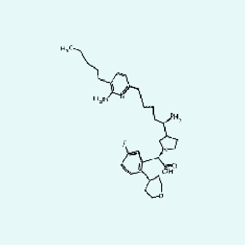 CCCCCc1ccc(CCCC[C@@H](P)C2CCN([C@@H](C(=O)O)c3cc(F)ccc3C3CCOCC3)C2)nc1N